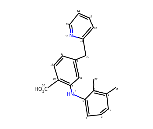 Cc1cccc(Nc2cc(Cc3ccccn3)ccc2C(=O)O)c1C